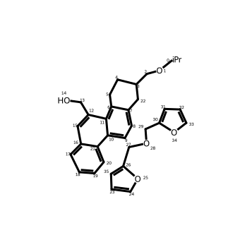 CC(C)OCC1CCc2c(ccc3c2c(CO)cc2ccccc23)C1.c1coc(COCc2ccco2)c1